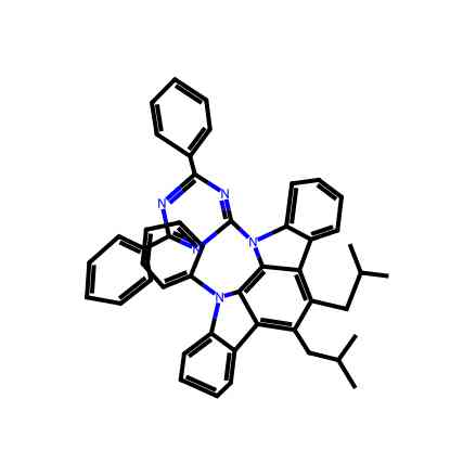 CC(C)Cc1c(CC(C)C)c2c3ccccc3n(-c3nc(-c4ccccc4)nc(-c4ccccc4)n3)c2c2c1c1ccccc1n2-c1ccccc1